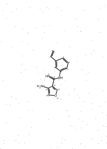 C=Cc1cccc(NC(=N)c2nonc2N)c1